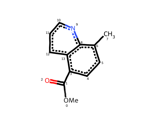 COC(=O)c1ccc(C)c2ncccc12